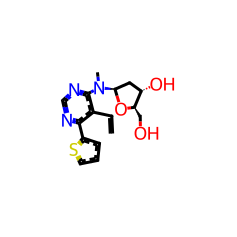 C=Cc1c(-c2cccs2)ncnc1N(C)[C@H]1C[C@H](O)[C@@H](CO)O1